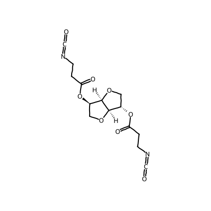 O=C=NCCC(=O)O[C@H]1CO[C@H]2[C@@H]1OC[C@H]2OC(=O)CCN=C=O